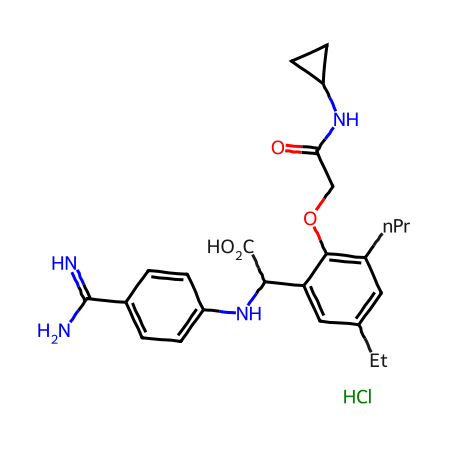 CCCc1cc(CC)cc(C(Nc2ccc(C(=N)N)cc2)C(=O)O)c1OCC(=O)NC1CC1.Cl